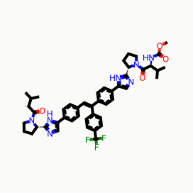 COC(=O)N[C@H](C(=O)N1CCC[C@H]1c1ncc(-c2ccc(C(=Cc3ccc(-c4cnc([C@@H]5CCCN5C(=O)[CH]C(C)C)[nH]4)cc3)c3ccc(C(F)(F)F)cc3)cc2)[nH]1)C(C)C